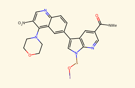 CNC(=O)c1cnc2c(c1)c(-c1ccc3ncc([N+](=O)[O-])c(N4CCOCC4)c3c1)cn2SOI